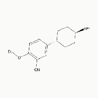 CCC[C@H]1CC[C@H](c2ccc(OCC)c(C#N)c2)CC1